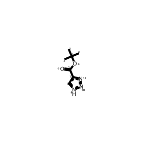 CC(C)(C)OC(=O)c1c[nH]nn1